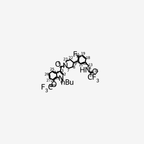 CCCCn1cc(C(=O)N2CCC(c3cc(CNC(=O)C(F)(F)F)ccc3F)CC2)c2cccc(OC(F)(F)F)c21